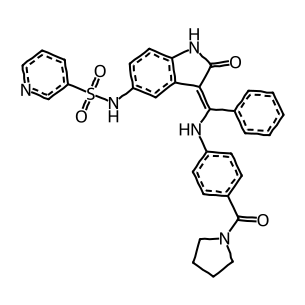 O=C1Nc2ccc(NS(=O)(=O)c3cccnc3)cc2C1=C(Nc1ccc(C(=O)N2CCCC2)cc1)c1ccccc1